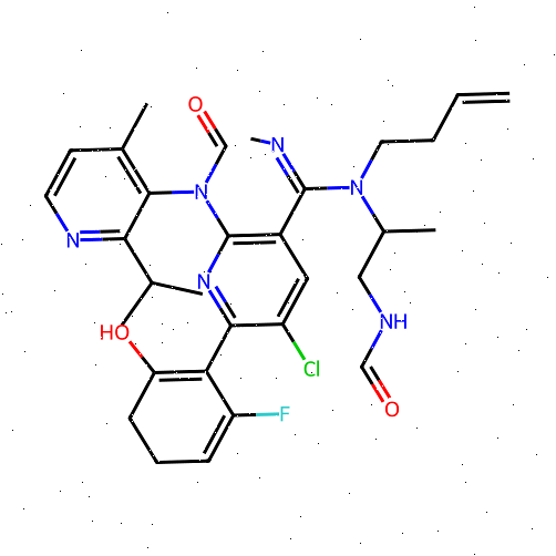 C=CCCN(/C(=N/C)c1cc(Cl)c(C2=C(O)CCC=C2F)nc1N(C=O)c1c(C)ccnc1C(C)C)C(C)CNC=O